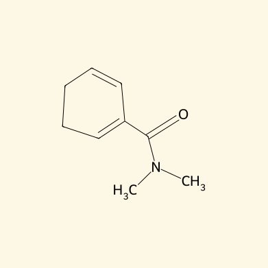 CN(C)C(=O)C1=CCCC=C1